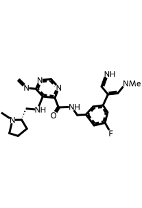 C=Nc1ncnc(C(=O)NCc2cc(F)cc(/C(C=N)=C/NC)c2)c1NC[C@@H]1CCCN1C